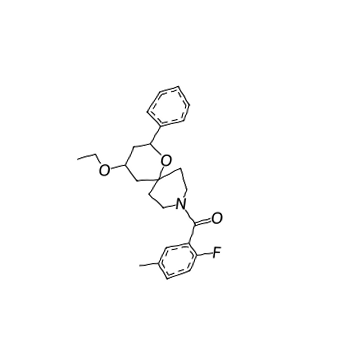 CCOC1CC(c2ccccc2)OC2(CCN(C(=O)c3cc(C)ccc3F)CC2)C1